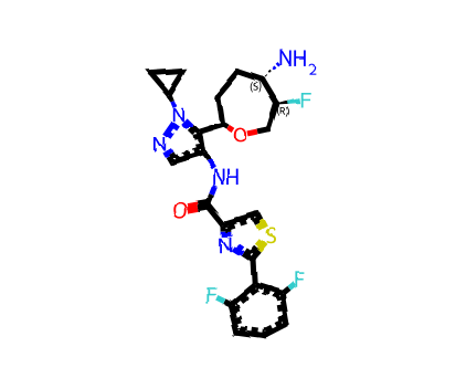 N[C@H]1CCC(c2c(NC(=O)c3csc(-c4c(F)cccc4F)n3)cnn2C2CC2)OC[C@@H]1F